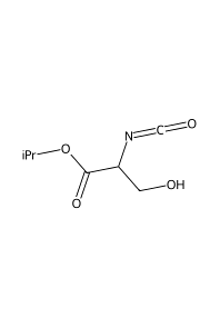 CC(C)OC(=O)C(CO)N=C=O